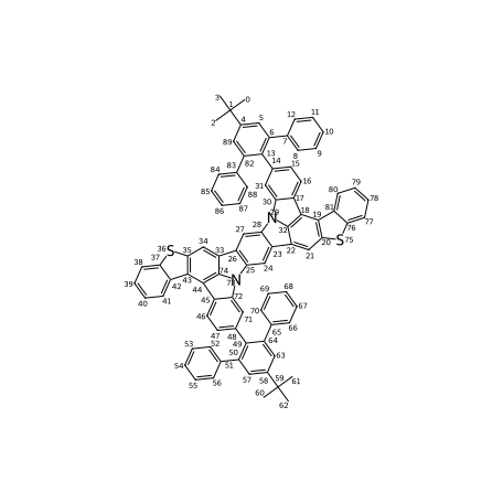 CC(C)(C)c1cc(-c2ccccc2)c(-c2ccc3c4c5c(cc6c7cc8c(cc7n(c3c2)c64)c2cc3sc4ccccc4c3c3c4ccc(-c6c(-c7ccccc7)cc(C(C)(C)C)cc6-c6ccccc6)cc4n8c23)sc2ccccc25)c(-c2ccccc2)c1